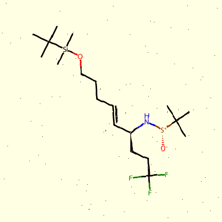 CC(C)(C)[S@+]([O-])N[C@H](/C=C/CCCO[Si](C)(C)C(C)(C)C)CCC(F)(F)F